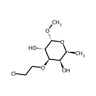 CO[C@@H]1O[C@@H](C)[C@@H](O)[C@@H](OCCCl)[C@@H]1O